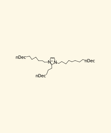 CCCCCCCCCCCCCCCCCCn1cc[n+](CCCCCCCCCCCCCCCC)c1CCCCCCCCCCCCC